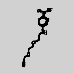 C#CCOCCOCCNc1ccc([N+](=O)[O-])cc1